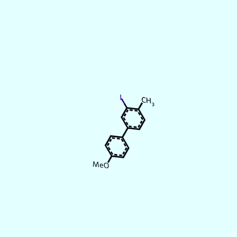 COc1ccc(-c2ccc(C)c(I)c2)cc1